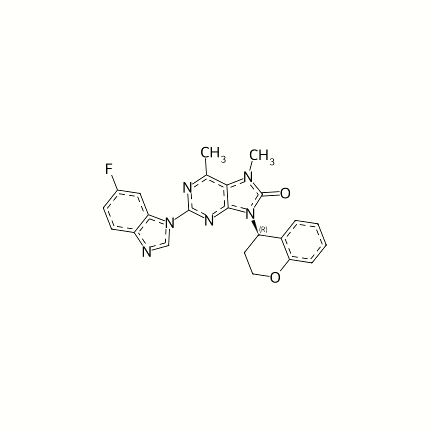 Cc1nc(-n2cnc3ccc(F)cc32)nc2c1n(C)c(=O)n2[C@@H]1CCOc2ccccc21